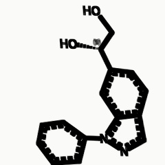 OC[C@@H](O)c1ccc2cnn(-c3ccccc3)c2c1